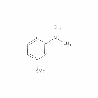 CSc1cc[c]c(N(C)C)c1